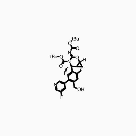 CC(C)(C)OC(=O)N=C1O[C@@H]2CC2[C@@](CF)(c2cc(-c3cncc(F)c3)c(CO)cc2F)N1C(=O)OC(C)(C)C